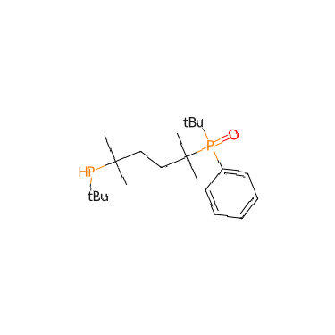 CC(C)(C)PC(C)(C)CCC(C)(C)P(=O)(c1ccccc1)C(C)(C)C